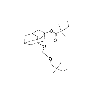 CCC(C)(C)COCOC12CC3CC(C1)CC(OC(=O)C(C)(C)CC)(C3)C2